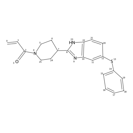 C=CC(=O)N1CCC(c2nc3cc(Sc4ccccc4)ccc3[nH]2)CC1